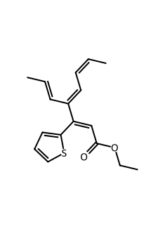 C\C=C/C=C(\C=C\C)C(=C/C(=O)OCC)/c1cccs1